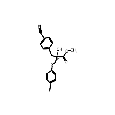 COC(=O)[C@@](O)(CSc1ccc(F)cc1)Cc1ccc(C#N)cc1